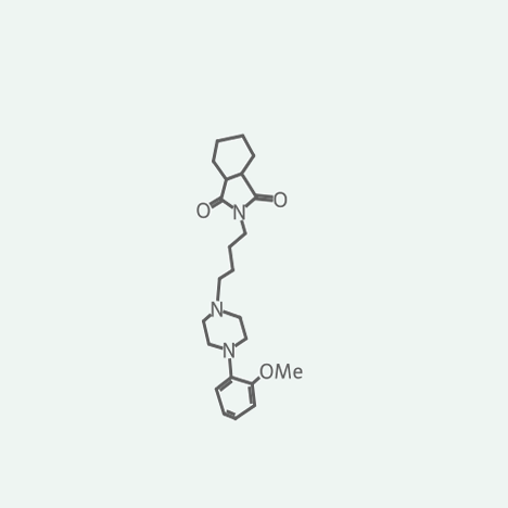 COc1ccccc1N1CCN(CCCCN2C(=O)C3CCCCC3C2=O)CC1